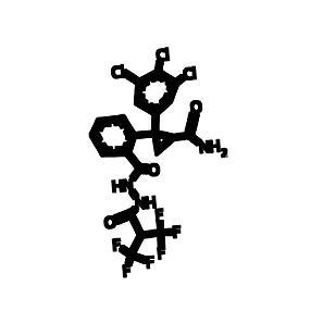 NC(=O)C1CC1(c1cc(Cl)c(Cl)c(Cl)c1)c1ccccc1C(=O)NNC(=O)C(C(F)(F)F)C(F)(F)F